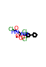 COC(=O)C(CNC(=O)CCl)NC(=O)c1c(Cl)cc(-c2ccccc2)cc1Cl